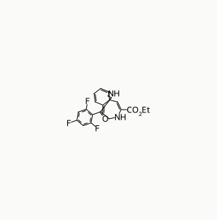 CCOC(=O)C1=CC23C(=CCN1)C=CC=C2NCC3C(=O)c1c(F)cc(F)cc1F